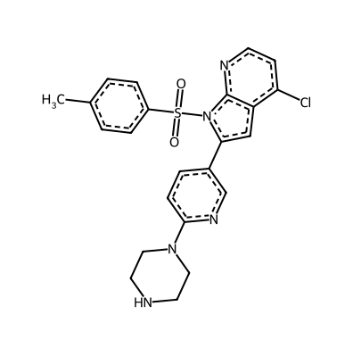 Cc1ccc(S(=O)(=O)n2c(-c3ccc(N4CCNCC4)nc3)cc3c(Cl)ccnc32)cc1